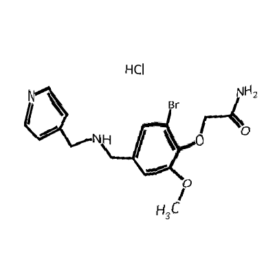 COc1cc(CNCc2ccncc2)cc(Br)c1OCC(N)=O.Cl